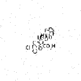 Cc1c(NC(=O)NC(=O)c2c(F)cccc2F)cc(C(=O)O)c(C(=O)c2ccc(Cl)c3ccccc23)c1Cl